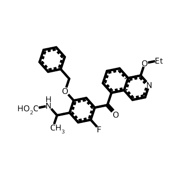 CCOc1nccc2c(C(=O)c3cc(OCc4ccccc4)c(C(C)NC(=O)O)cc3F)cccc12